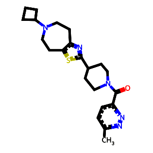 Cc1ccc(C(=O)N2CCC(c3nc4c(s3)CCN(C3CCC3)CC4)CC2)nn1